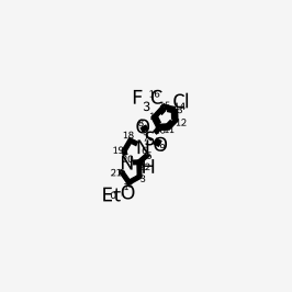 CCO[C@H]1C[C@H]2CN(S(=O)(=O)c3ccc(Cl)c(C(F)(F)F)c3)CCN2C1